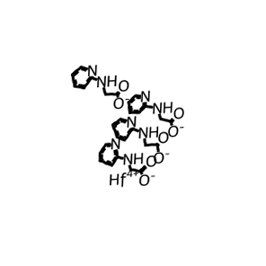 O=C([O-])CNc1ccccn1.O=C([O-])CNc1ccccn1.O=C([O-])CNc1ccccn1.O=C([O-])CNc1ccccn1.[Hf+4]